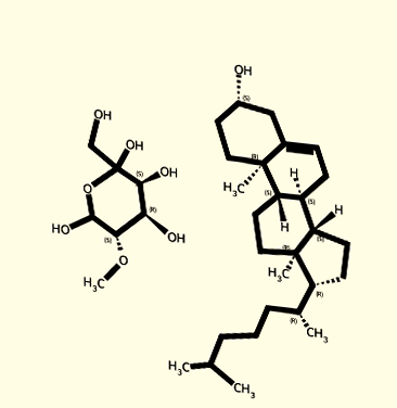 CC(C)CCC[C@@H](C)[C@H]1CC[C@H]2[C@@H]3CC=C4C[C@@H](O)CC[C@]4(C)[C@H]3CC[C@]12C.CO[C@@H]1C(O)OC(O)(CO)[C@@H](O)[C@H]1O